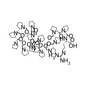 NC(N)=NCCC[C@H](NC(=O)[C@@H]1CCCN1C(=O)[C@@H]1CCCN1C(=O)[C@@H]1CCCN1C(=O)[C@@H]1CCCN1C(=O)[C@@H]1CCCN1C(=O)[C@@H]1CCCN1C(=O)[C@@H]1CCCN1C(=O)[C@@H]1CCCN1C(=O)[C@@H]1CCCN1C(=O)[C@@H]1CCCN1C(=O)[C@@H]1CCCN1C(=O)[C@@H]1CCCN1C(=O)[C@@H]1CCCN1C(=O)[C@@H]1CCCN1)C(=O)O